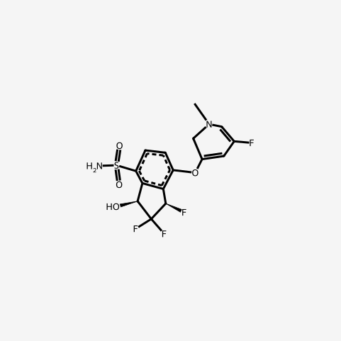 CN1C=C(F)C=C(Oc2ccc(S(N)(=O)=O)c3c2[C@@H](F)C(F)(F)[C@H]3O)C1